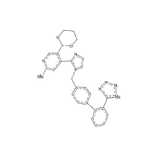 CCCCc1cc(-c2nccn2Cc2ccc(-c3ccccc3-c3nnn[nH]3)cc2)c(C2OCCCO2)cn1